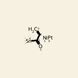 C=C[C](=O)[Sn].[Ni].[Pt]